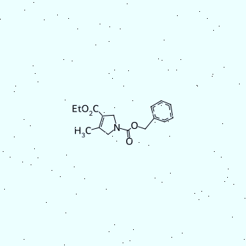 CCOC(=O)C1=C(C)CN(C(=O)OCc2ccccc2)C1